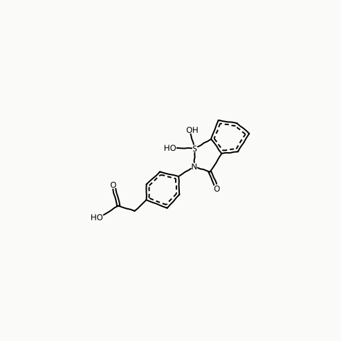 O=C(O)Cc1ccc(N2C(=O)c3ccccc3S2(O)O)cc1